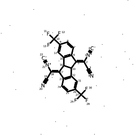 [C-]#[N+]/C(C#N)=C1\c2ccc(C(F)(F)F)cc2C2/C(=C(/C#N)[N+]#[C-])c3ccc(C(F)(F)F)cc3C12